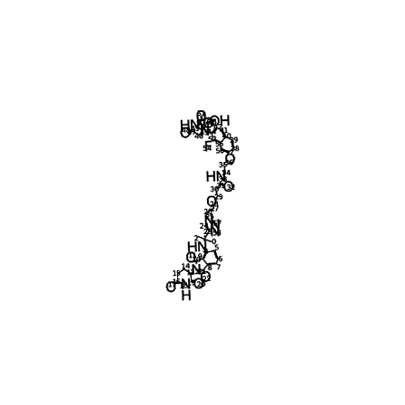 CC(C)(Nc1cccc2c1C(=O)N(C1CCC(=O)NC1=O)C2=O)c1cn(CCOCCC(=O)NCCOc2ccc3cc(O)c(N4CC(=O)NS4(=O)=O)c(F)c3c2)nn1